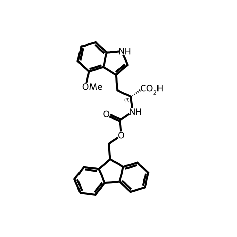 COc1cccc2[nH]cc(C[C@@H](NC(=O)OCC3c4ccccc4-c4ccccc43)C(=O)O)c12